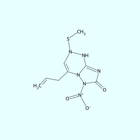 C=CCC1=CN(SC)Nc2nc(=O)n([N+](=O)[O-])n21